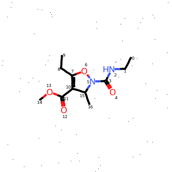 CCNC(=O)N1OC(CC)=C(C(=O)OC)C1C